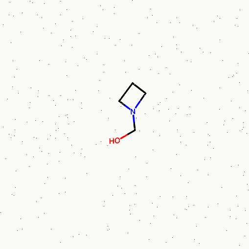 OCN1CCC1